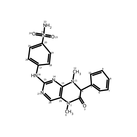 CN1C(=O)C(c2ccccc2)N(C)c2nc(Nc3ccc(S(N)(=O)=O)cc3)ncc21